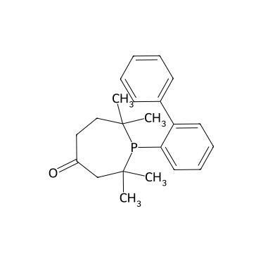 CC1(C)CCC(=O)CC(C)(C)P1c1ccccc1-c1ccccc1